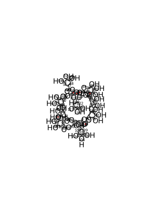 O=CC1OC(=O)c2cc(O)c(O)c(O)c2Oc2cc3c(c(O)c2O)-c2c(cc(O)c(O)c2O)C(=O)OC2C(COC3=O)OC(OC(=O)c3cc(O)c(O)c(O)c3)C(OC(=O)c3cc(O)c(O)c(O)c3Oc3cc4c(c(O)c3O)-c3c(cc(O)c(O)c3O)C(=O)OCC(O)C(OC4=O)C1OC(=O)c1cc(O)c(O)c(O)c1)C2OC(=O)c1cc(O)c(O)c(O)c1